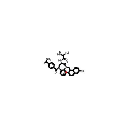 CNC(C)C(=O)N[C@H]1CN(C(=O)c2ccc(C(N)=O)cc2)c2ccccc2N(Cc2c(OC)ccc3cc(Br)ccc23)C1=O.Cl